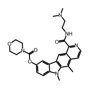 Cc1c2ccnc(C(=O)NCCN(C)C)c2cc2c3cc(OC(=O)N4CCOCC4)ccc3n(C)c12